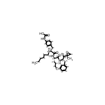 CCCCCCN[C@@H](Cc1ccc(NC(=O)O)cc1)C(=O)N[C@@H](CCCC)C(=O)N[C@@H](Cc1ccccc1)C(=O)[C@@]1(C)CO1